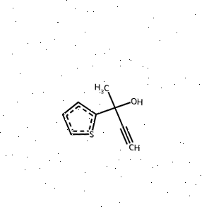 C#CC(C)(O)c1cccs1